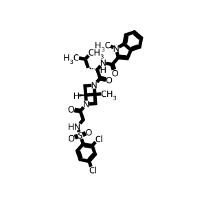 CC(C)C[C@H](NC(=O)c1cc2ccccc2n1C)C(=O)N1C[C@H]2N(C(=O)CNS(=O)(=O)c3ccc(Cl)cc3Cl)CC21C